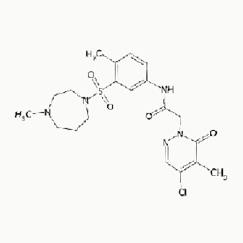 Cc1ccc(NC(=O)Cn2ncc(Cl)c(C)c2=O)cc1S(=O)(=O)N1CCCN(C)CC1